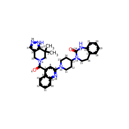 CC1(C)CN(C(=O)c2cc(N3CCC(N4CCc5ccccc5NC4=O)CC3)nc3ccccc23)Cc2cn[nH]c21